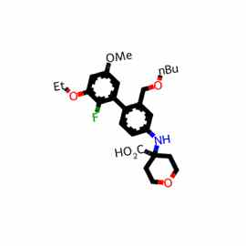 CCCCOCc1cc(NC2(C(=O)O)CCOCC2)ccc1-c1cc(OC)cc(OCC)c1F